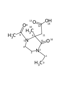 CCN1CCN(C(C)=O)C(C)(CC(=O)O)C1=O